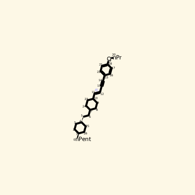 CCCCC[C@H]1CC[C@H](CCC2CCC(/C=C/C#Cc3ccc(OCCC)cc3)CC2)CC1